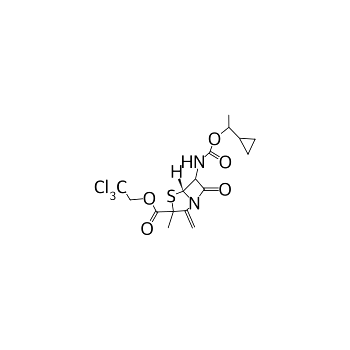 C=C1N2C(=O)C(NC(=O)OC(C)C3CC3)[C@H]2SC1(C)C(=O)OCC(Cl)(Cl)Cl